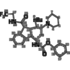 CCCCc1c(N2CCCCC2)cc(NC(=O)Oc2ccccc2)c2c1C(C(=O)NCC(F)(F)F)c1ccccc1-2